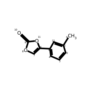 Cc1cccc(-c2coc(=O)o2)c1